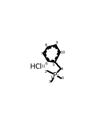 C[P](C)(C)Cc1ccccc1.Cl